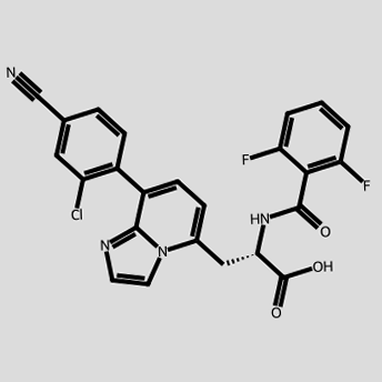 N#Cc1ccc(-c2ccc(C[C@H](NC(=O)c3c(F)cccc3F)C(=O)O)n3ccnc23)c(Cl)c1